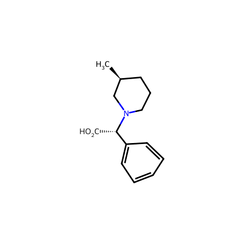 C[C@H]1CCCN([C@@H](C(=O)O)c2ccccc2)C1